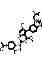 COc1nc(N[C@H]2CCN(C(C)=O)C[C@H]2F)nn2cc(F)c(-c3ccc4nnn(C[C@@H](C)F)c4c3)c12